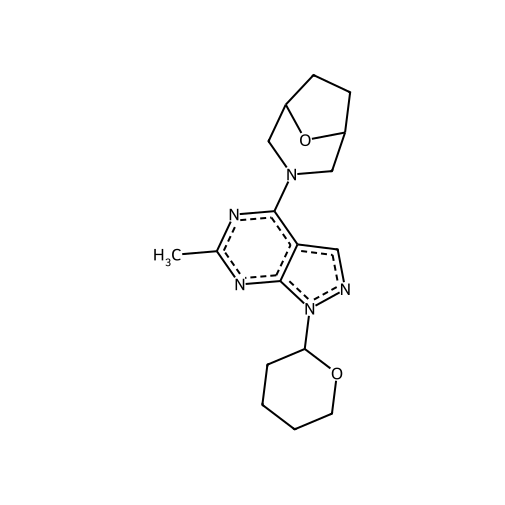 Cc1nc(N2CC3CCC(C2)O3)c2cnn(C3CCCCO3)c2n1